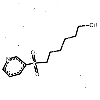 O=S(=O)(CCCCCCO)c1cccnc1